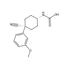 COc1cccc([C@]2(C#N)CC[C@@H](NC(=O)O)CC2)c1